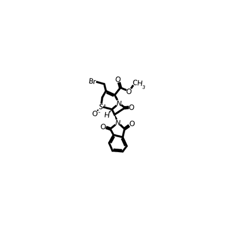 COC(=O)C1=C(CBr)C[S@@+]([O-])[C@@H]2[C@H](N3C(=O)c4ccccc4C3=O)C(=O)N12